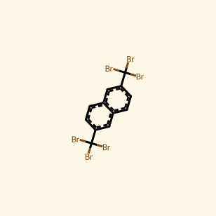 BrC(Br)(Br)c1ccc2cc(C(Br)(Br)Br)ccc2c1